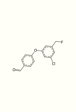 O=Cc1ccc(Oc2cc(Cl)cc(CF)c2)cc1